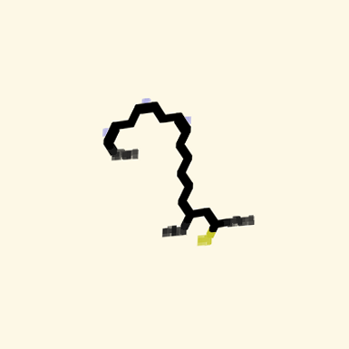 CCCCC/C=C\C/C=C\C/C=C\CCCCCC(CCCCCC)CC(S)CCCCC